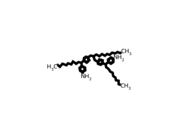 CCCCCCCCCCCC(Cc1ccc(C(CCCCCCCCCC)c2ccc(N)cc2)cc1)Cc1ccc(C(CCCCCCCCCC)c2ccc(N)cc2)cc1